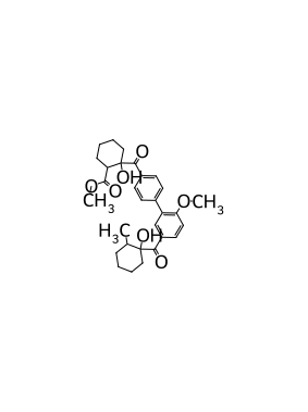 COC(=O)C1CCCCC1(O)C(=O)c1ccc(-c2cc(C(=O)C3(O)CCCCC3C)ccc2OC)cc1